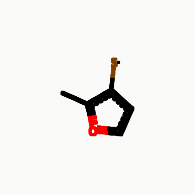 Cc1occc1[S]